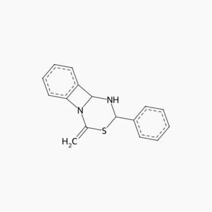 C=C1SC(c2ccccc2)NC2c3ccccc3N12